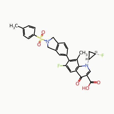 Cc1ccc(S(=O)(=O)N2Cc3ccc(-c4c(F)cc5c(=O)c(C(=O)O)cn([C@@H]6C[C@@H]6F)c5c4C)cc3C2)cc1